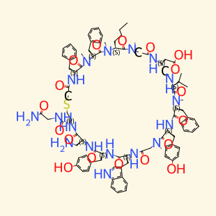 CCCC[C@H]1C(=O)N(C)CC(=O)N[C@@H](CC(=O)O)CN[C@@H](C(C)C)C(=O)N(C)[C@@H](Cc2ccccc2)C(=O)N[C@@H](Cc2ccc(O)cc2)C(=O)N(C)CC(=O)N[C@@H](Cc2c[nH]c3ccccc23)C(=O)N[C@@H](Cc2ccc(O)cc2)C(=O)N[C@@H](CN)C(=O)N[C@H](C(=O)NCC(N)=O)CSCC(=O)N[C@@H](Cc2ccccc2)C(=O)N(C)[C@@H](Cc2ccccc2)C(=O)N1C